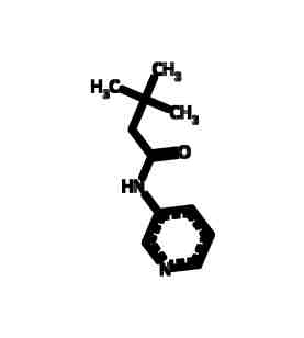 CC(C)(C)CC(=O)Nc1cccnc1